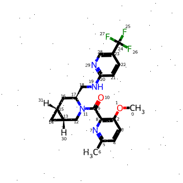 COc1ccc(C)nc1C(=O)N1C[C@@H]2C[C@@H]2C[C@H]1CNc1ccc(C(F)(F)F)cn1